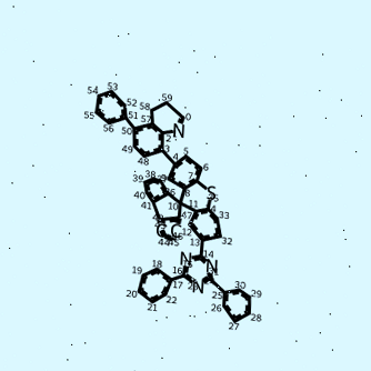 C1=Nc2c(-c3ccc4c(c3)C3(c5cc(-c6nc(-c7ccccc7)nc(-c7ccccc7)n6)ccc5S4)c4ccccc4-c4ccccc43)ccc(-c3ccccc3)c2CC1